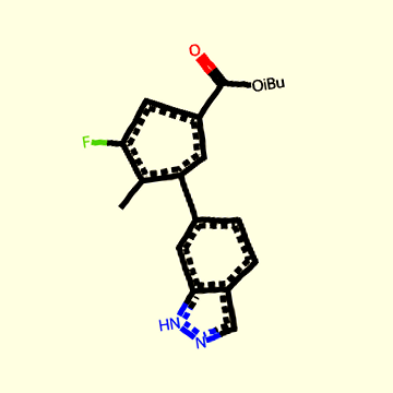 Cc1c(F)cc(C(=O)OCC(C)C)cc1-c1ccc2cn[nH]c2c1